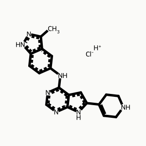 Cc1n[nH]c2ccc(Nc3ncnc4[nH]c(C5=CCNCC5)cc34)cc12.[Cl-].[H+]